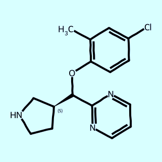 Cc1cc(Cl)ccc1OC(c1ncccn1)[C@H]1CCNC1